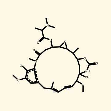 COc1cc2cc(c1Cl)N(C)C(=O)CC(OC(=O)C(C)N(C)C)C1OC1C(C)C1CC(O)(NC(=O)O1)C(OC)/C=C/C=C(\C)C2